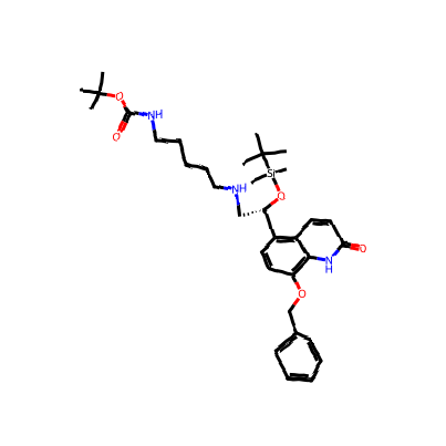 CC(C)(C)OC(=O)NCCCCCNC[C@H](O[Si](C)(C)C(C)(C)C)c1ccc(OCc2ccccc2)c2[nH]c(=O)ccc12